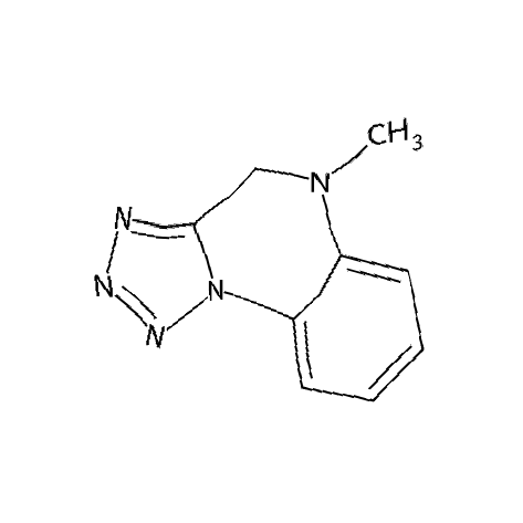 CN1Cc2nnnn2-c2ccccc21